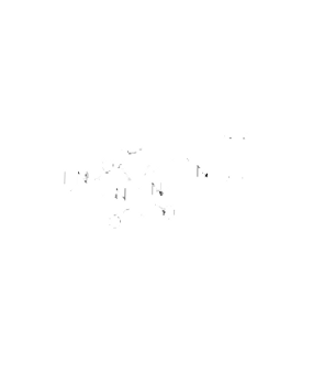 NC(=O)CN1C(=O)CC(=O)N(C2CCN(C3CCCCCCC3)CC2)c2ccccc21